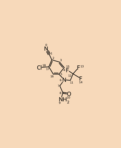 N#Cc1ccc(N(CC(N)=O)CC(F)(F)F)cc1Cl